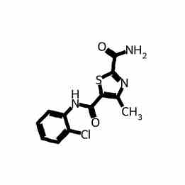 Cc1nc(C(N)=O)sc1C(=O)Nc1ccccc1Cl